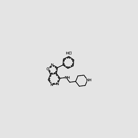 Cl.c1ccc(-c2noc3cnnc(NCC4CCNCC4)c23)cc1